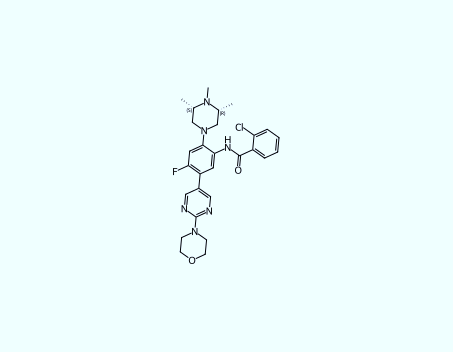 C[C@@H]1CN(c2cc(F)c(-c3cnc(N4CCOCC4)nc3)cc2NC(=O)c2ccccc2Cl)C[C@H](C)N1C